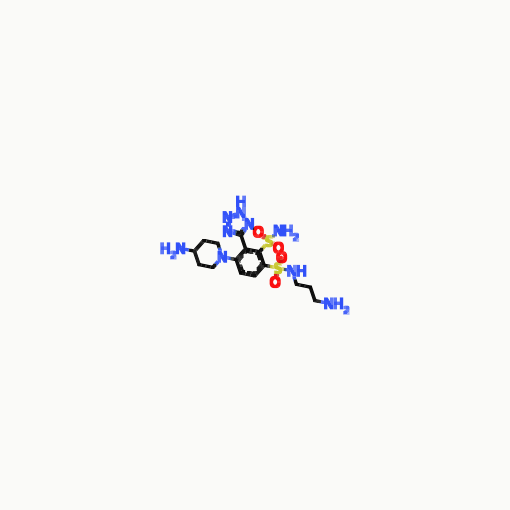 NCCCNS(=O)(=O)c1ccc(N2CCC(N)CC2)c(-c2nn[nH]n2)c1S(N)(=O)=O